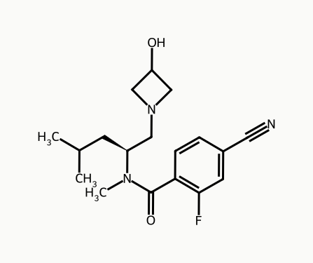 CC(C)C[C@@H](CN1CC(O)C1)N(C)C(=O)c1ccc(C#N)cc1F